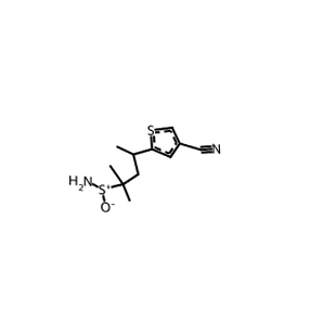 CC(CC(C)(C)[S+](N)[O-])c1cc(C#N)cs1